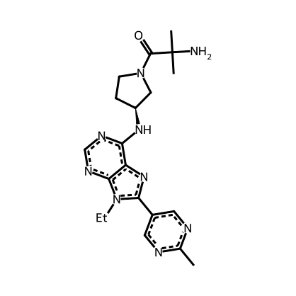 CCn1c(-c2cnc(C)nc2)nc2c(N[C@H]3CCN(C(=O)C(C)(C)N)C3)ncnc21